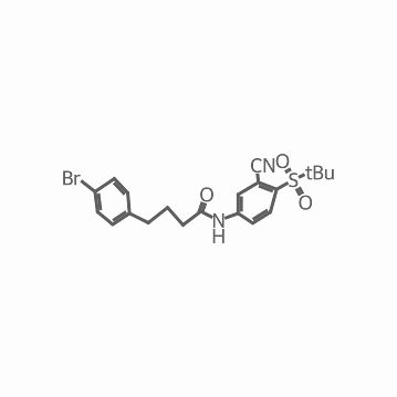 CC(C)(C)S(=O)(=O)c1ccc(NC(=O)CCCc2ccc(Br)cc2)cc1C#N